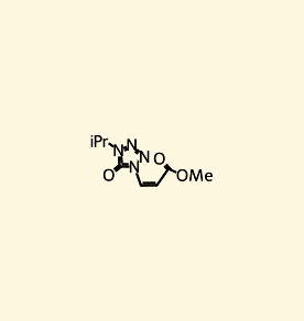 COC(=O)/C=C\n1nnn(C(C)C)c1=O